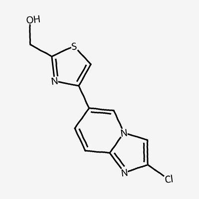 OCc1nc(-c2ccc3nc(Cl)cn3c2)cs1